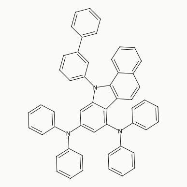 c1ccc(-c2cccc(-n3c4cc(N(c5ccccc5)c5ccccc5)cc(N(c5ccccc5)c5ccccc5)c4c4ccc5ccccc5c43)c2)cc1